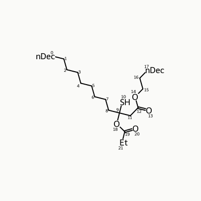 CCCCCCCCCCCCCCCCCCC(S)(CC(=O)OCCCCCCCCCCCC)OC(=O)CC